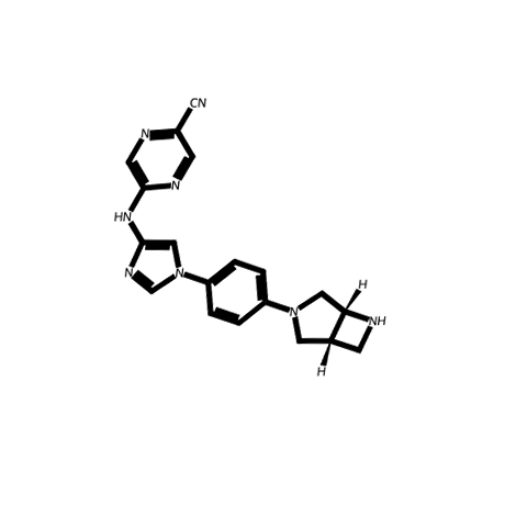 N#Cc1cnc(Nc2cn(-c3ccc(N4C[C@H]5CN[C@H]5C4)cc3)cn2)cn1